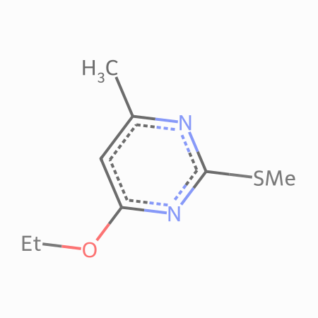 CCOc1cc(C)nc(SC)n1